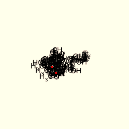 CC(=O)OCC(=O)[C@@]1(O)CC[C@H]2[C@@H]3CCC4=CC(=O)CC[C@]4(C)C3=CC[C@@]21C.CC(=O)OCC(=O)[C@@]1(O)CC[C@H]2[C@@H]3CCC4=CC(=O)CC[C@]4(C)[C@H]3C(=O)C[C@@]21C.CO[C@H]1C[C@H](O[C@H]2CC[C@@]3(C)[C@H](CC[C@@H]4[C@@H]3CC[C@]3(C)[C@@H](C5=CC(=O)OC5)[C@@H](OC(C)=O)C[C@]43O)C2)O[C@@H](C)[C@@H]1O.O=C(O)CCC/C=C\C[C@@H]1[C@@H](/C=C/[C@@H](O)COc2cccc(C(F)(F)F)c2)[C@H](O)C[C@@H]1O